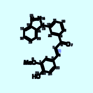 COc1cc(/C=C/C(=O)c2cccc(-n3nnc4ccccc43)c2)ccc1O